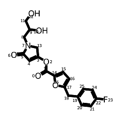 O=C(OC1=CC(=O)N(CC(O)CO)C1)c1ccc(Cc2ccc(F)cc2)o1